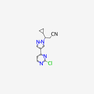 N#CCC(C1CC1)n1cc(-c2ccnc(Cl)n2)cn1